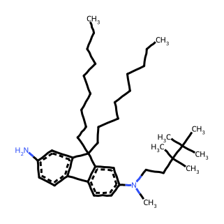 CCCCCCCCCC1(CCCCCCCCC)c2cc(N)ccc2-c2ccc(N(C)CCC(C)(C)C(C)(C)C)cc21